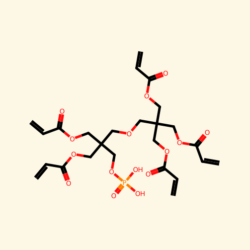 C=CC(=O)OCC(COCC(COC(=O)C=C)(COC(=O)C=C)COP(=O)(O)O)(COC(=O)C=C)COC(=O)C=C